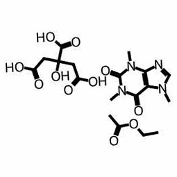 CCOC(C)=O.Cn1c(=O)c2c(ncn2C)n(C)c1=O.O=C(O)CC(O)(CC(=O)O)C(=O)O